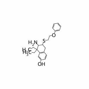 CCC1(CC)c2cc(O)ccc2CC(SCCOc2ccccc2)C1N